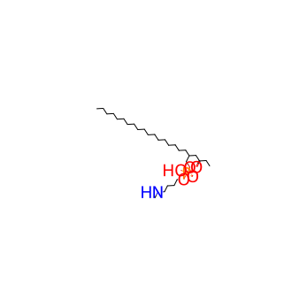 CCCCCCCCCCCCCCCCCCC(COP(=O)(O)OCCCCNC)CC(=O)CC